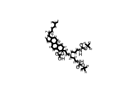 CC(C)CCC[C@@H](C)[C@H]1CCC2C3CC=C4CC(CCN(CCCNC(=O)OC(C)(C)C)CCCNC(=O)OC(C)(C)C)(OC(=O)O)CC[C@]4(C)C3CC[C@@]21C